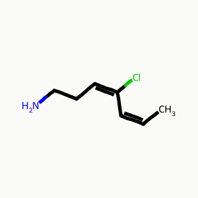 C/C=C\C(Cl)=C/CCN